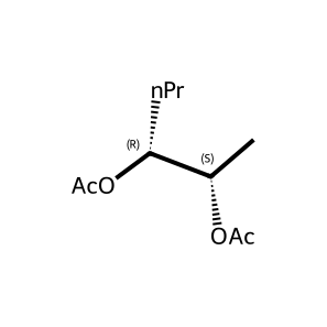 CCC[C@@H](OC(C)=O)[C@H](C)OC(C)=O